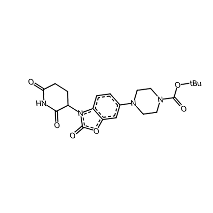 CC(C)(C)OC(=O)N1CCN(c2ccc3c(c2)oc(=O)n3C2CCC(=O)NC2=O)CC1